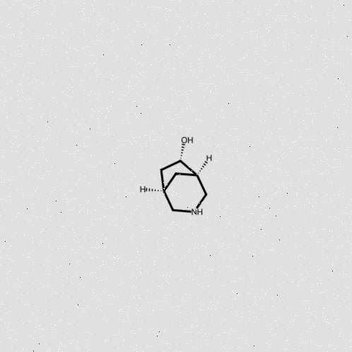 O[C@H]1C[C@@H]2CNC[C@H]1C2